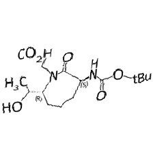 CC(O)[C@H]1CCC[C@H](NC(=O)OC(C)(C)C)C(=O)N1CC(=O)O